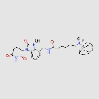 CN(CCCCCC(=O)NCc1cccc2c1n(C)c(=O)n2C1CCC(=O)NC1=O)C12CC3CC(CC(C3)C1)C2